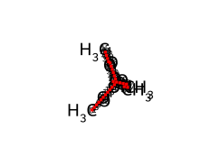 CCCCCCCCCC(=O)OCCCCCCCCOc1ccc(OCCCCCCCCOC(=O)CCCCCCCCC)c(COC(=O)C2CCN(C(C)C)CC2)c1